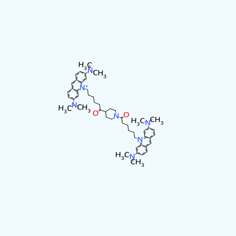 CN(C)c1ccc2cc3ccc(N(C)C)cc3[n+](CCCCCC(=O)C3CCN(C(=O)CCCCC[n+]4c5cc(N(C)C)ccc5cc5ccc(N(C)C)cc54)CC3)c2c1